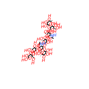 CC(=O)N[C@H]1[C@H](O[C@H]2[C@@H](O)[C@@H](CO)O[C@@H](O[C@@H]3[C@@H](NC(C)=O)[C@H](O[C@H]4[C@@H](O)[C@@H](CO)O[C@@H](O[C@H]5[C@H](O)[C@@H](O)[C@H](O)O[C@@H]5CO)[C@@H]4O)O[C@H](CO)[C@H]3O[C@@H]3O[C@@H](C)[C@@H](O)[C@@H](O)[C@@H]3O)[C@@H]2O)O[C@H](CO)[C@@H](O[C@@H]2O[C@H](CO)[C@H](O)[C@H](O)[C@H]2O[C@@H]2O[C@@H](C)[C@@H](O)[C@@H](O)[C@@H]2O)[C@@H]1O